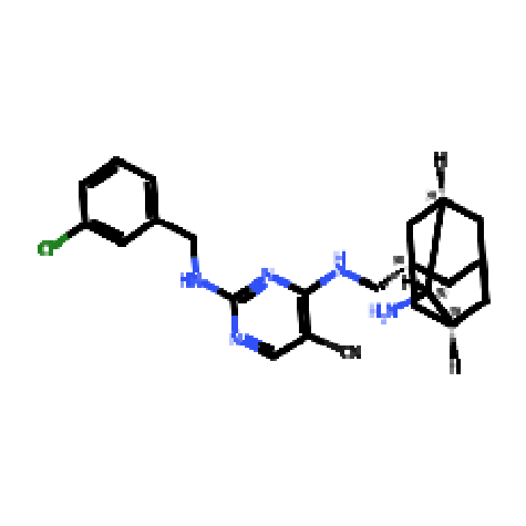 N#Cc1cnc(NCc2cccc(Cl)c2)nc1NC[C@@]12CC3C[C@H](C1)[C@@H](N)[C@@H](C3)C2